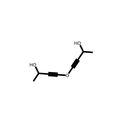 CC(O)C#COC#CC(C)O